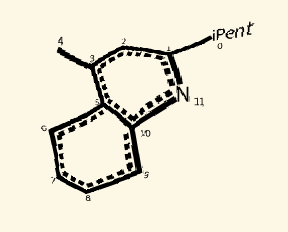 CCCC(C)c1cc(C)c2ccccc2n1